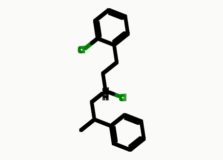 CC(C[SiH](Cl)CCc1ccccc1Cl)c1ccccc1